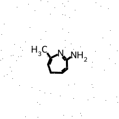 CC1=CCC=CC(N)=N1